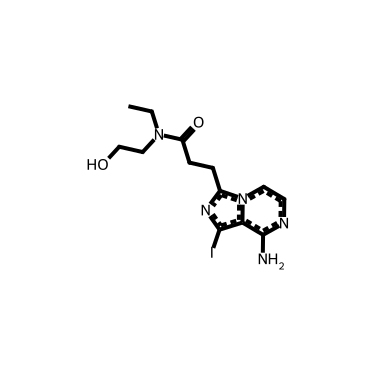 CCN(CCO)C(=O)CCc1nc(I)c2c(N)nccn12